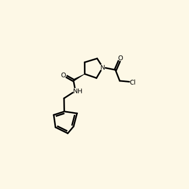 O=C(NCc1ccccc1)[C@H]1CCN(C(=O)CCl)C1